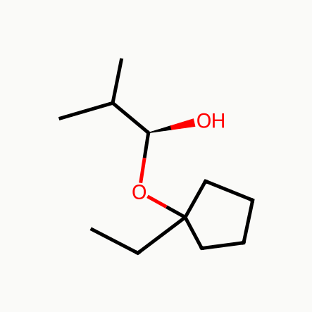 CCC1(O[C@H](O)C(C)C)CCCC1